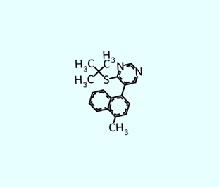 Cc1ccc(-c2cncnc2SC(C)(C)C)c2ccccc12